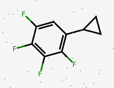 Fc1[c]c(C2CC2)c(F)c(F)c1F